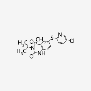 CC(C)N1C(=O)Nc2ccc(Sc3ccc(Cl)cn3)cc2P1(C)=O